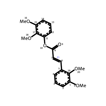 COc1cccc(/C=C/C(=O)Oc2cccc(OC)c2OC)c1OC